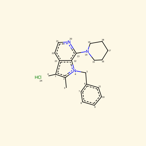 Cc1c(C)n(Cc2ccccc2)c2c(N3CCCCC3)nccc12.Cl